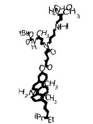 CCC(CCCC1CCC2C1(C)CCC1C3(C)CCC(OC(=O)CCCC(=O)N(CCCCNCCC(C)NC=O)CCC(C)NC(=O)OC(C)(C)C)CC3=CCC12N)C(C)C